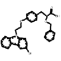 O=C(O)C(Cc1ccc(OCCn2c3ccccc3c3cc(Br)ccc32)cc1)OCc1ccccc1